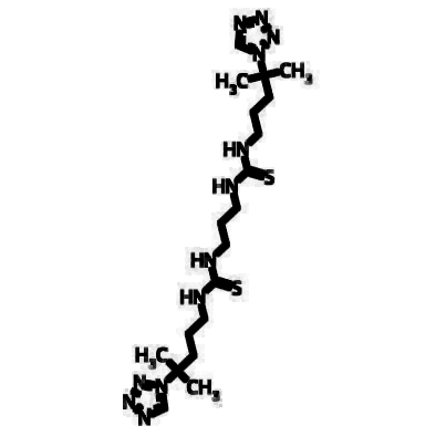 CC(C)(CCCNC(=S)NCCCNC(=S)NCCCC(C)(C)n1cnnn1)n1cnnn1